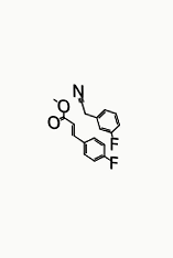 COC(=O)/C=C/c1ccc(F)cc1.N#CCc1cccc(F)c1